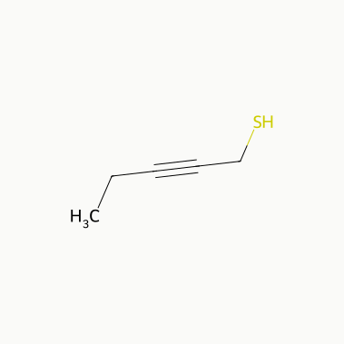 CCC#CCS